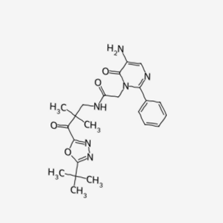 CC(C)(CNC(=O)Cn1c(-c2ccccc2)ncc(N)c1=O)C(=O)c1nnc(C(C)(C)C)o1